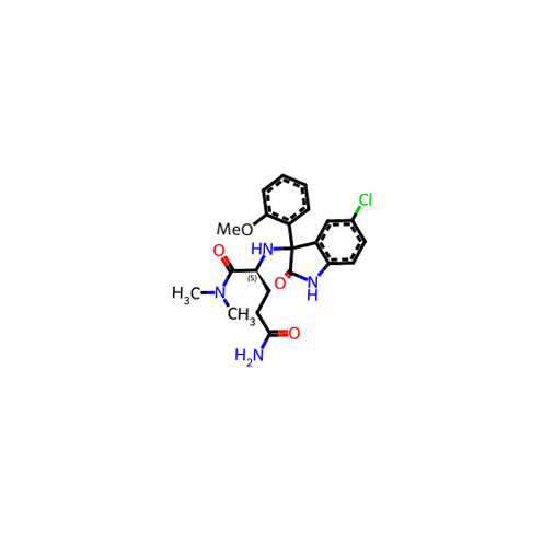 COc1ccccc1C1(N[C@@H](CCC(N)=O)C(=O)N(C)C)C(=O)Nc2ccc(Cl)cc21